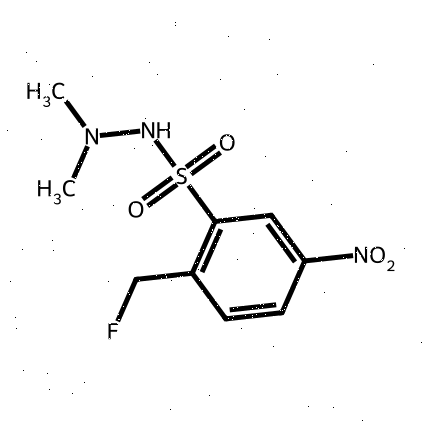 CN(C)NS(=O)(=O)c1cc([N+](=O)[O-])ccc1CF